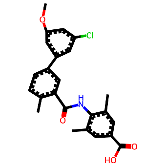 COc1cc(Cl)cc(-c2ccc(C)c(C(=O)Nc3c(C)cc(C(=O)O)cc3C)c2)c1